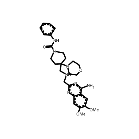 COc1cc2nc(CNCC3(N4CCOCC4)CCN(C(=O)Nc4ccccc4)CC3)nc(N)c2cc1OC